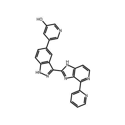 Oc1cncc(-c2ccc3[nH]nc(-c4nc5c(-c6ccccn6)nccc5[nH]4)c3c2)c1